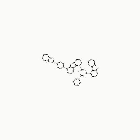 c1ccc(-c2nc(-c3cccc4oc5ccccc5c34)nc(-c3cccc4oc5c(-c6ccc(-c7nc8ccccc8s7)cc6)cccc5c34)n2)cc1